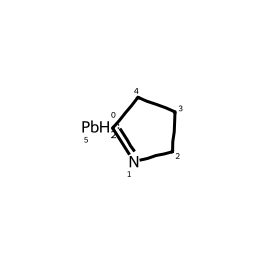 C1=NCCC1.[PbH2]